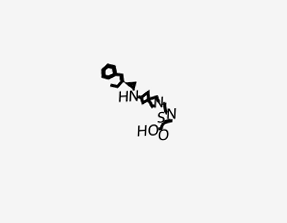 CC/C(=C\c1ccccc1)[C@@H]1C[C@H]1NC1CC2(C1)CN(Cc1ncc(C(=O)O)s1)C2